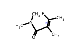 C/C(F)=C(\C)C(=O)N(C)C